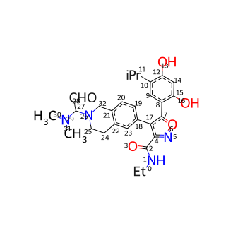 CCNC(=O)c1noc(-c2cc(C(C)C)c(O)cc2O)c1-c1ccc2c(c1)CCN(C(C=O)N(C)C)C2